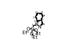 CCO[Si](Cn1ncc2ccccc21)(OCC)OCC